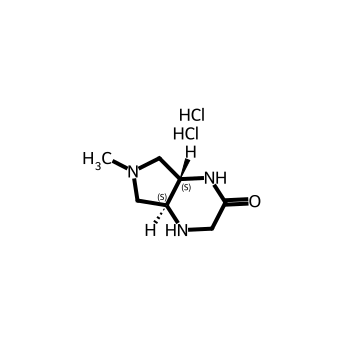 CN1C[C@@H]2NCC(=O)N[C@H]2C1.Cl.Cl